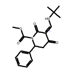 COC(=O)N1C(=O)/C(=C\NC(C)(C)C)C(=O)CC1c1ccccc1